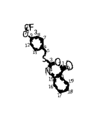 O=c1oc(SCc2ccc(OC(F)(F)F)cc2)nc2ccccc12